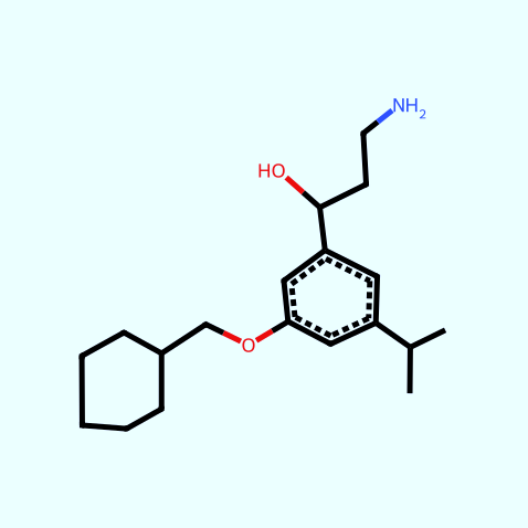 CC(C)c1cc(OCC2CCCCC2)cc(C(O)CCN)c1